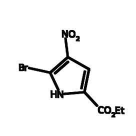 CCOC(=O)c1cc([N+](=O)[O-])c(Br)[nH]1